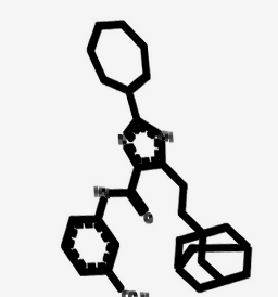 O=C(O)c1cccc(NC(=O)c2nc(C3CCCCCC3)[nH]c2CCC23CC4CC(CC(C4)C2)C3)c1